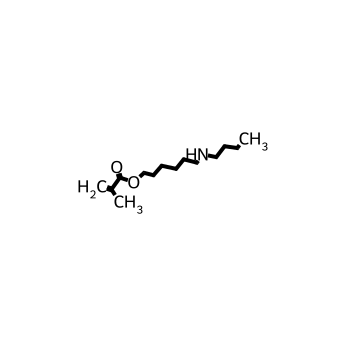 C=C(C)C(=O)OCCCCCCNCCCC